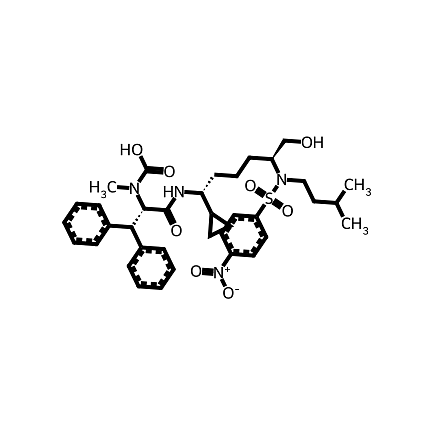 CC(C)CCN([C@H](CO)CCC[C@@H](NC(=O)[C@H](C(c1ccccc1)c1ccccc1)N(C)C(=O)O)C1CC1)S(=O)(=O)c1ccc([N+](=O)[O-])cc1